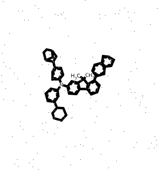 CC1(C)c2cc(N(c3ccc(C4CC5CCC4C5)cc3)c3cccc(C4CCCCC4)c3)ccc2-c2cccc(-c3ccc4ccccc4c3)c21